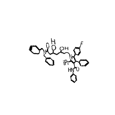 CC(C)c1c(C(=O)Nc2ccccc2)c(-c2ccccc2)c(-c2ccc(F)cc2)n1CCC(O)CC(O)CC(=O)N(Cc1ccccc1)Cc1ccccc1